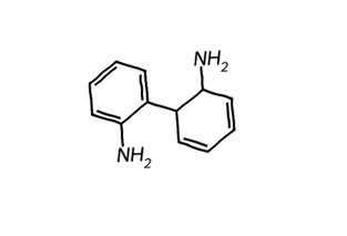 Nc1ccccc1C1C=CC=CC1N